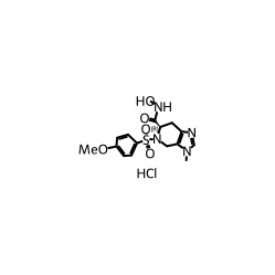 COc1ccc(S(=O)(=O)N2Cc3c(ncn3C)C[C@@H]2C(=O)NO)cc1.Cl